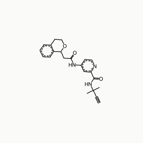 C#CC(C)(C)NC(=O)c1cc(NC(=O)CC2OCCc3ccccc32)ccn1